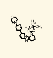 CC(C)(C)OC(=O)N1CCCc2nc3ccc(-c4cnc(N5CCOCC5)nc4)cn3c21